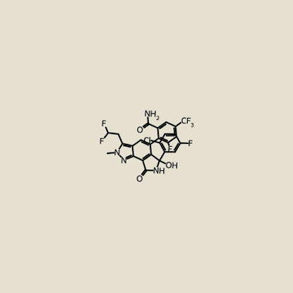 Cn1nc2c3c(c(-c4c(F)cc(C(F)(F)F)cc4C(N)=O)cc2c1CC(F)F)C(O)(c1cc(F)ccc1Cl)NC3=O